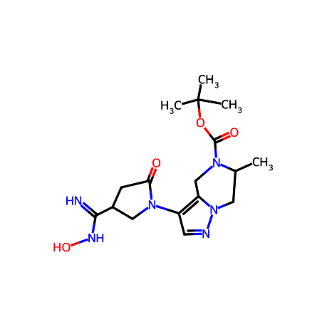 CC1Cn2ncc(N3CC(C(=N)NO)CC3=O)c2CN1C(=O)OC(C)(C)C